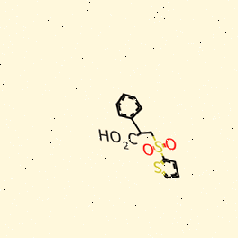 O=C(O)C(CS(=O)(=O)c1cccs1)c1ccccc1